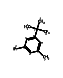 Cc1cc(C(C)C)cc(C(C)(C)C(F)(F)F)c1